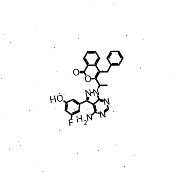 CC(c1oc(=O)c2ccccc2c1Cc1ccccc1)n1nc(-c2cc(O)cc(F)c2)c2c(N)ncnc21